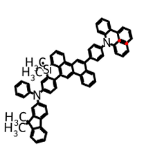 CC1(C)c2ccccc2-c2ccc(N(c3ccccc3)c3ccc4c(c3)[Si](C)(C)c3cccc5c3c-4cc3c4ccccc4c(-c4ccc(N(c6ccccc6)c6ccccc6-c6ccccc6)cc4)cc53)cc21